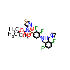 CC(C)(C)OC(=O)N(c1cscn1)S(=O)(=O)c1ccc(NCc2c(F)ccc(F)c2CN2CCC2)c(F)c1F